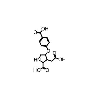 O=C(O)CC1C(Oc2ccc(C(=O)O)cc2)CNC1C(=O)O